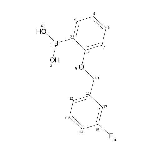 OB(O)c1ccccc1OCc1cccc(F)c1